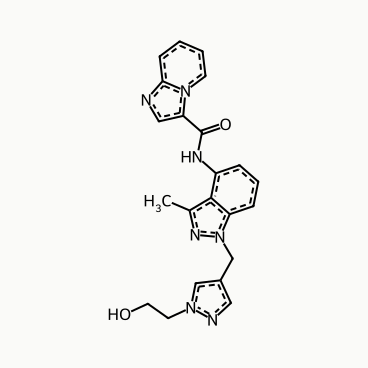 Cc1nn(Cc2cnn(CCO)c2)c2cccc(NC(=O)c3cnc4ccccn34)c12